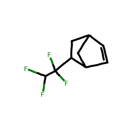 FC(F)C(F)(F)C1CC2C=CC1C2